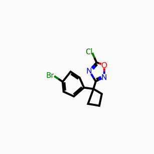 Clc1nc(C2(c3ccc(Br)cc3)CCC2)no1